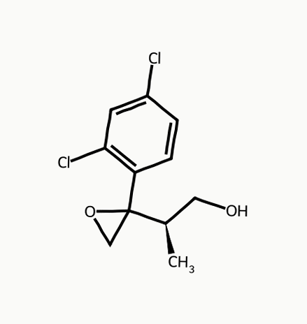 C[C@H](CO)C1(c2ccc(Cl)cc2Cl)CO1